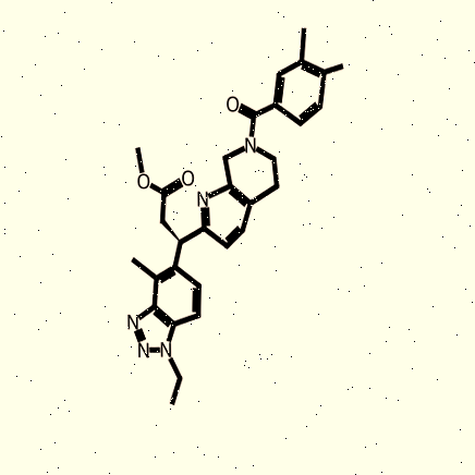 CCn1nnc2c(C)c([C@@H](CC(=O)OC)c3ccc4c(n3)CN(C(=O)c3ccc(C)c(C)c3)CC4)ccc21